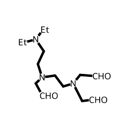 CCN(CC)CCN(CC=O)CCN(CC=O)CC=O